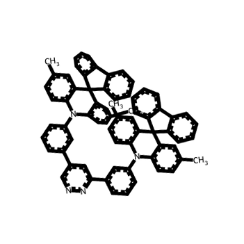 Cc1ccc2c(c1)C1(c3ccccc3-c3ccccc31)c1cc(C)ccc1N2c1cccc(-c2cnnc(-c3cccc(N4c5ccc(C)cc5C5(c6ccccc6-c6ccccc65)c5cc(C)ccc54)c3)c2)c1